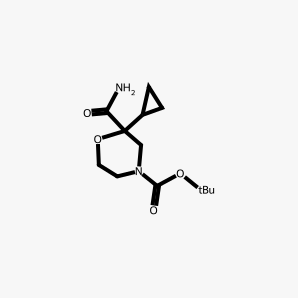 CC(C)(C)OC(=O)N1CCOC(C(N)=O)(C2CC2)C1